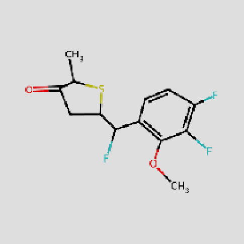 COc1c(C(F)C2CC(=O)C(C)S2)ccc(F)c1F